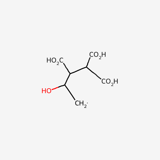 [CH2]C(O)C(C(=O)O)C(C(=O)O)C(=O)O